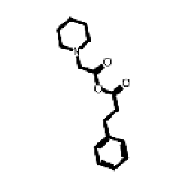 O=C(CCc1ccccc1)OC(=O)CN1CCCCC1